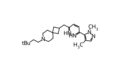 Cc1cnn(C)c1C(=N)/C=C\C(=N)CC1CC2(CCN(CCC(C)(C)C)CC2)C1